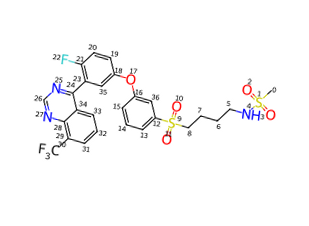 CS(=O)(=O)NCCCCS(=O)(=O)c1cccc(Oc2ccc(F)c(-c3ncnc4c(C(F)(F)F)cccc34)c2)c1